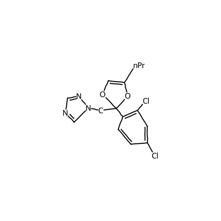 CCCC1=COC(Cn2cncn2)(c2ccc(Cl)cc2Cl)O1